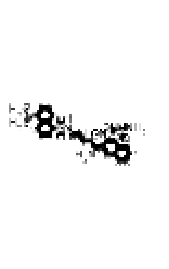 CN(C)c1c(C(N)CCCCNS(=O)(=O)c2cccc3c(N(C)C)cccc23)cc2ccccc2c1S(=O)(=O)NN